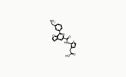 NCc1cccc(-c2nc(C(=O)Nc3sccc3CC(=O)O)cc3ccoc23)c1